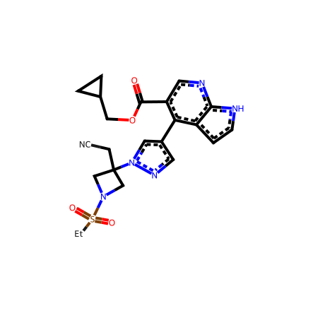 CCS(=O)(=O)N1CC(CC#N)(n2cc(-c3c(C(=O)OCC4CC4)cnc4[nH]ccc34)cn2)C1